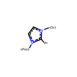 CCCCCCCC[n+]1ccn(CCCCC)c1C(C)C